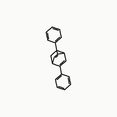 C1=C(c2ccccc2)C2C=C(c3ccccc3)C1CC2